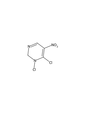 O=[N+]([O-])C1=C(Cl)N(Cl)CN=C1